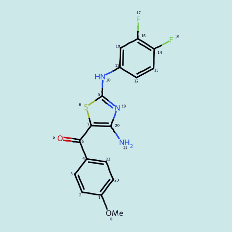 COc1ccc(C(=O)c2sc(Nc3ccc(F)c(F)c3)nc2N)cc1